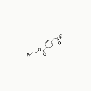 O=C(OCCBr)c1ccc(C[N+](=O)[O-])cc1